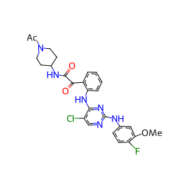 COc1cc(Nc2ncc(Cl)c(Nc3ccccc3C(=O)C(=O)NC3CCN(C(C)=O)CC3)n2)ccc1F